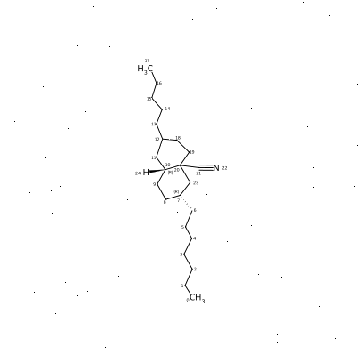 CCCCCCC[C@@H]1CC[C@@H]2CC(CCCCC)CCC2(C#N)C1